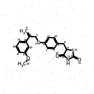 C=C(COc1ccc(CC2SC(=O)NC2=O)cc1)c1cccc(OC)c1